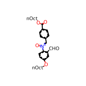 CCCCCCCCOC(=O)c1ccc(C=[N+]([O-])c2ccc(OCCCCCCCC)cc2C=O)cc1